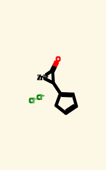 O=[C]1[Zr+2][CH]1C1=CC=CC1.[Cl-].[Cl-]